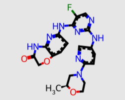 C[C@H]1CN(c2ccc(Nc3ncc(F)c(Nc4ccc5c(n4)NC(=O)CO5)n3)cn2)CCO1